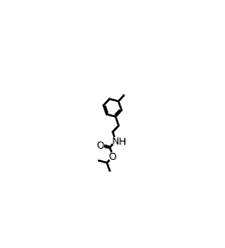 CC1C=C(CCNC(=O)OC(C)C)C=CC1